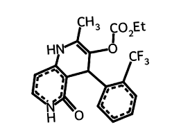 CCOC(=O)OC1=C(C)Nc2cc[nH]c(=O)c2C1c1ccccc1C(F)(F)F